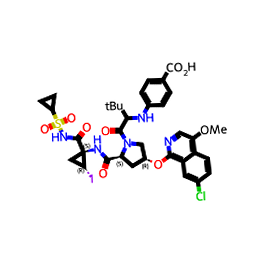 COc1cnc(O[C@@H]2C[C@@H](C(=O)N[C@]3(C(=O)NS(=O)(=O)C4CC4)C[C@H]3I)N(C(=O)C(Nc3ccc(C(=O)O)cc3)C(C)(C)C)C2)c2cc(Cl)ccc12